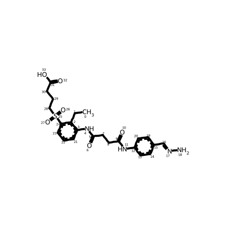 CCc1c(NC(=O)CCC(=O)Nc2ccc(C=NN)cc2)cccc1S(=O)(=O)CCCC(=O)O